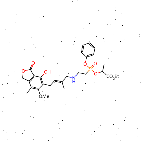 CCOC(=O)C(C)OP(=O)(CCNC/C(C)=C/Cc1c(O)c2c(c(C)c1OC)COC2=O)Oc1ccccc1